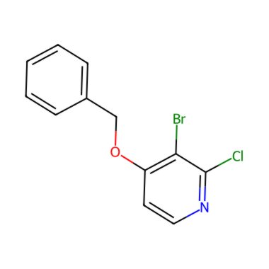 Clc1nccc(OCc2ccccc2)c1Br